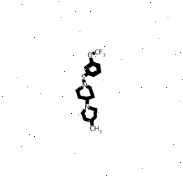 CC1CCN(C2CCN(Sc3cccc(OC(F)(F)F)c3)CC2)CC1